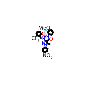 COc1cccc(-n2c(=O)c3c(C)n(-c4ccc([N+](=O)[O-])cc4)nc3n(Cc3ccccc3C(F)(F)F)c2=O)c1F